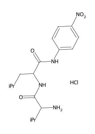 CC(C)CC(NC(=O)C(N)C(C)C)C(=O)Nc1ccc([N+](=O)[O-])cc1.Cl